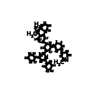 Cc1cc(-c2cccc(-c3cc(-c4ccc5c(c4)-c4ccccc4C5(C)C)cc(-c4nc(-c5ccccc5)cc(-c5ccccc5)n4)c3)c2)ccn1